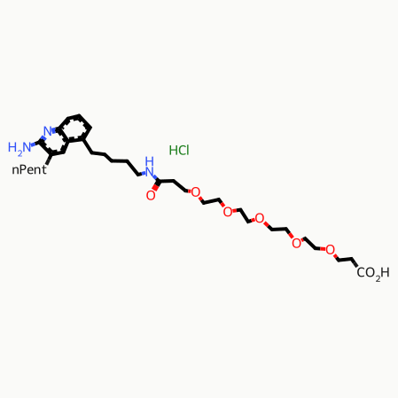 CCCCCc1cc2c(CCCCCNC(=O)CCOCCOCCOCCOCCOCCC(=O)O)cccc2nc1N.Cl